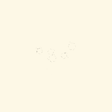 Cc1nn(-c2cccnc2)c(C)c1-c1cc(C23CCOCC2C3)nc2c(-c3ccnn3C3CCCCO3)cnn12